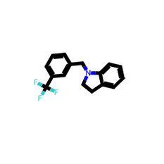 FC(F)(F)c1cccc(CN2CCc3c[c]ccc32)c1